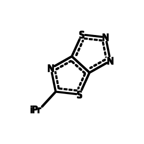 CC(C)c1nc2snnc2s1